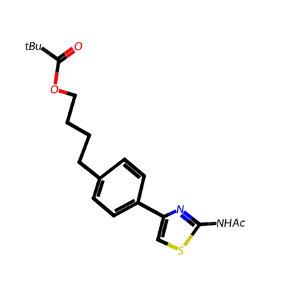 CC(=O)Nc1nc(-c2ccc(CCCCOC(=O)C(C)(C)C)cc2)cs1